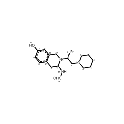 CC(C)[C@@H](CN1CCCCC1)N1Cc2cc(O)ccc2C[C@@H]1NC=O